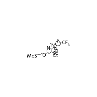 CC[S+]([O-])c1cc(OCCCSC)cnc1-c1nc2cc(C(F)(F)F)ncc2n1C